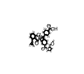 COC[C@H]1CCCN1C(=O)C1CCc2c(C3=CCC(C(=O)O)CC3)nn(C(=O)c3c(Cl)cccc3C3CC3)c2C1